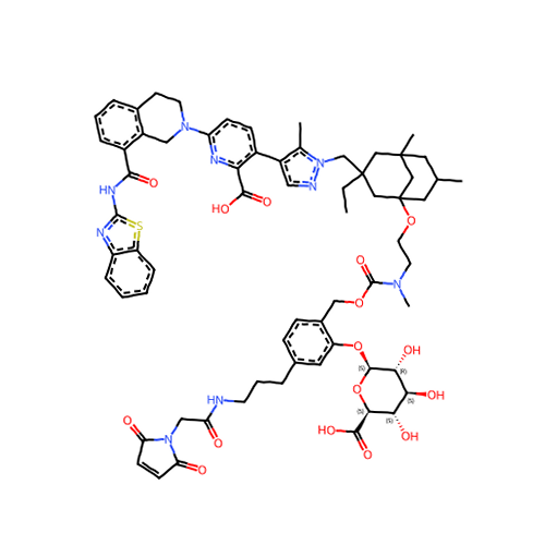 CCC1(Cn2ncc(-c3ccc(N4CCc5cccc(C(=O)Nc6nc7ccccc7s6)c5C4)nc3C(=O)O)c2C)CC2(C)CC(C)CC(OCCN(C)C(=O)OCc3ccc(CCCNC(=O)CN4C(=O)C=CC4=O)cc3O[C@@H]3O[C@H](C(=O)O)[C@@H](O)[C@H](O)[C@H]3O)(C2)C1